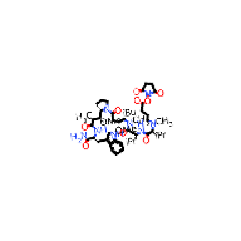 CC[C@H](C)C([C@@H](CC(=O)N1CCC[C@H]1[C@H](OC)[C@@H](C)C(=O)N[C@@H](Cc1c[nH]c2ccccc12)C(N)=O)OC)N(C)C(=O)[C@@H](NC(=O)[C@H](C(C)C)N(C)CCCC(=O)ON1C(=O)CCC1=O)C(C)C